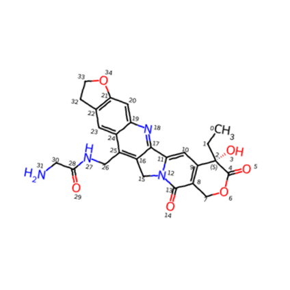 CC[C@@]1(O)C(=O)OCc2c1cc1n(c2=O)Cc2c-1nc1cc3c(cc1c2CNC(=O)CN)CCO3